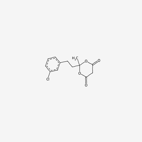 CC1(CCc2cccc(Cl)c2)OC(=O)CC(=O)O1